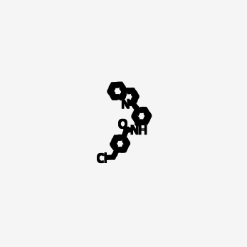 O=C(Nc1cccc(-c2ccc3ccccc3n2)c1)c1ccc(CCl)cc1